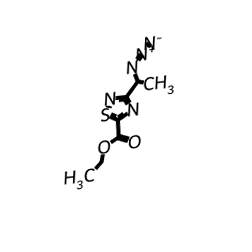 CCOC(=O)c1nc(C(C)N=[N+]=[N-])ns1